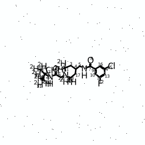 [2H]C1([2H])CC(CNC(=O)c2cc(F)cc(Cl)c2)CC([2H])([2H])N1CC(=O)NC(C)(C([2H])([2H])[2H])C([2H])([2H])[2H]